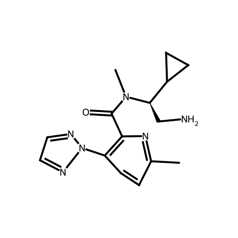 Cc1ccc(-n2nccn2)c(C(=O)N(C)[C@H](CN)C2CC2)n1